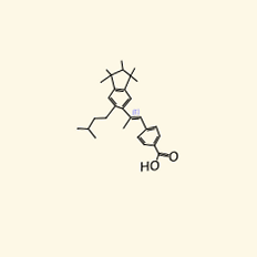 C/C(=C\c1ccc(C(=O)O)cc1)c1cc2c(cc1CCC(C)C)C(C)(C)C(C)C2(C)C